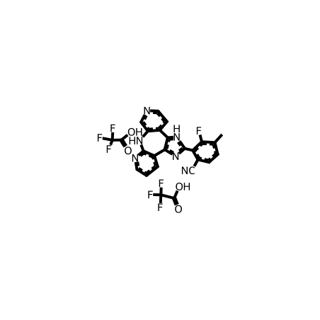 Cc1ccc(C#N)c(-c2nc3c([nH]2)-c2ccncc2Nc2ncccc2-3)c1F.O=C(O)C(F)(F)F.O=C(O)C(F)(F)F